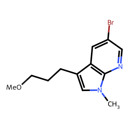 COCCCc1cn(C)c2ncc(Br)cc12